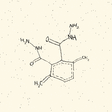 C=c1ccc(=C)c(C(=O)NN)c1C(=O)NN